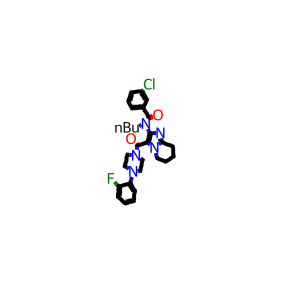 CCCCN(C(=O)c1cccc(Cl)c1)c1nc2n(c1C(=O)N1CCN(c3ccccc3F)CC1)CCCC2